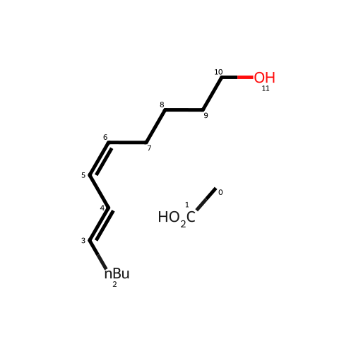 CC(=O)O.CCCC/C=C/C=C\CCCCO